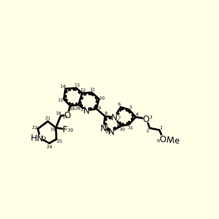 COCCOc1ccn2c(-c3ccc4cccc(OCC5(F)CCNCC5)c4n3)nnc2c1